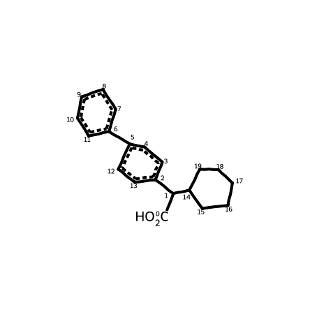 O=C(O)C(c1ccc(-c2ccccc2)cc1)C1CCCCC1